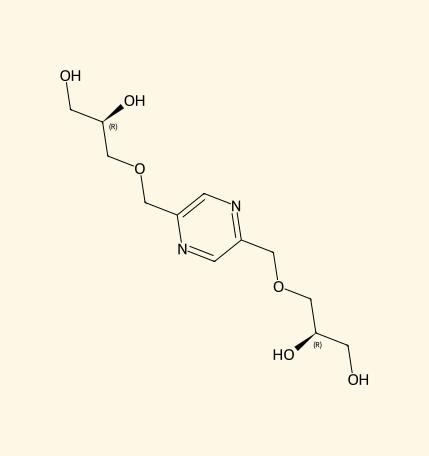 OC[C@@H](O)COCc1cnc(COC[C@H](O)CO)cn1